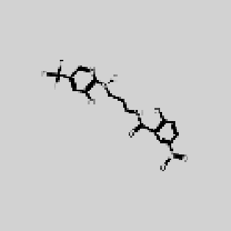 O=C(NCCC[S+]([O-])c1ncc(C(F)(F)F)cc1Cl)c1cc([N+](=O)[O-])ccc1Cl